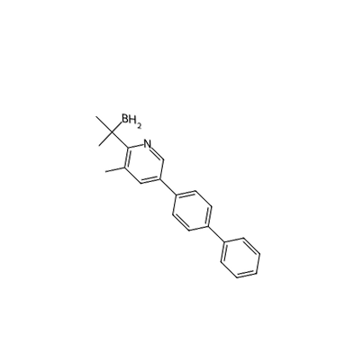 BC(C)(C)c1ncc(-c2ccc(-c3ccccc3)cc2)cc1C